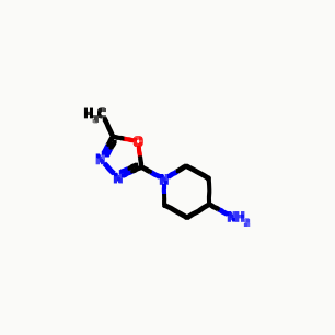 Cc1nnc(N2CCC(N)CC2)o1